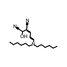 CCCCCCN(C=CC=C(C#N)C(O)C#N)CCCCCC